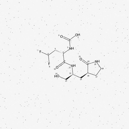 O=C(O)N[C@@H](CC(F)F)C(=O)N[C@H](CO)C[C@@H]1CCNC1=O